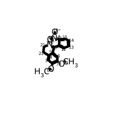 COc1cc2c(cc1OC)C(c1ccccc1[N+](=O)[O-])=NCC2